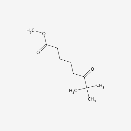 COC(=O)CCCCC(=O)C(C)(C)C